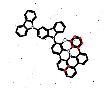 c1ccc(-c2cccc(-c3ccccc3)c2N2B3c4ccccc4Oc4c(-n5c6ccccc6c6cc(-n7c8ccccc8c8ccccc87)ccc65)ccc(c43)-c3ccccc32)cc1